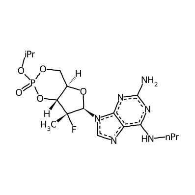 CCCNc1nc(N)nc2c1ncn2[C@@H]1O[C@@H]2COP(=O)(OC(C)C)O[C@H]2[C@@]1(C)F